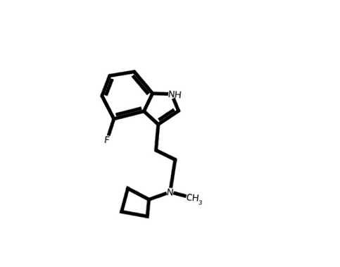 CN(CCc1c[nH]c2cccc(F)c12)C1CCC1